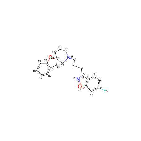 Fc1ccc2c(CCCN3CCCC4(Cc5ccccc5O4)C3)noc2c1